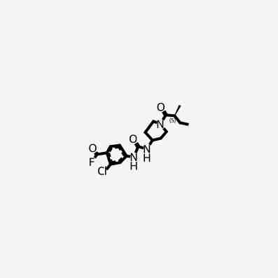 CC[C@H](C)C(=O)N1CCC(NC(=O)Nc2ccc(C(=O)F)c(Cl)c2)CC1